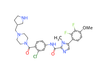 COc1ccc(-c2cnc(C(=O)Nc3ccc(C(=O)N4CCN(CC5CCNC5)CC4)c(Cl)c3)n2C)c(F)c1F